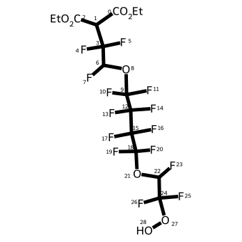 CCOC(=O)C(C(=O)OCC)C(F)(F)C(F)OC(F)(F)C(F)(F)C(F)(F)C(F)(F)OC(F)C(F)(F)OO